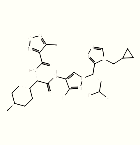 Cc1nonc1C(=O)N[C@H](C(=O)Nc1cn([C@@H](CC(F)F)c2nncn2CC2CC2)nc1F)[C@H]1CC[C@H](C)CC1